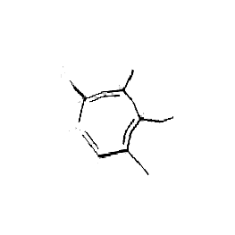 Cc1cnc(Cl)c(Br)c1C